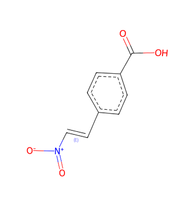 O=C(O)c1ccc(/C=C/[N+](=O)[O-])cc1